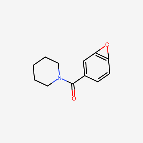 O=C(c1ccc2c(c1)O2)N1CCCCC1